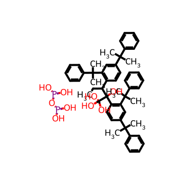 CCC(c1ccc(C(C)(C)c2ccccc2)cc1C(C)(C)c1ccccc1)C(O)(c1ccc(C(C)(C)c2ccccc2)cc1C(C)(C)c1ccccc1)C(O)(O)O.OP(O)OP(O)O